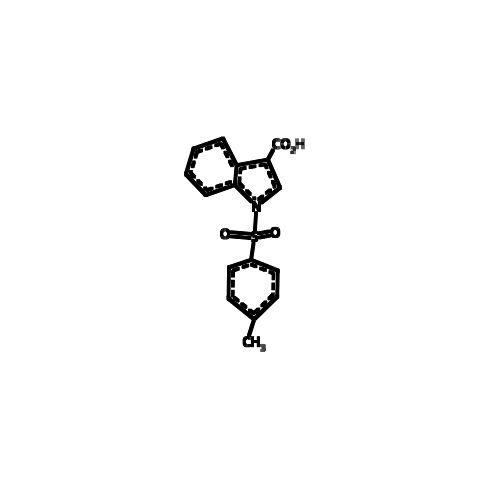 Cc1ccc(S(=O)(=O)n2cc(C(=O)O)c3ccccc32)cc1